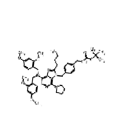 CCCCc1nc2c(N(Cc3ccc(OC)cc3OC)Cc3ccc(OC)cc3OC)nnc(N3CCCC3)c2n1Cc1ccc(CNC(=O)OC(C)(C)C)cc1